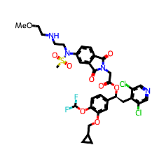 COCCNCCN(c1ccc2c(c1)C(=O)N(CC(=O)O[C@@H](Cc1c(Cl)cncc1Cl)c1ccc(OC(F)F)c(OCC3CC3)c1)C2=O)S(C)(=O)=O